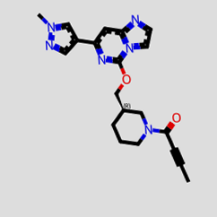 CC#CC(=O)N1CCC[C@@H](COc2nc(-c3cnn(C)c3)cc3nccn23)C1